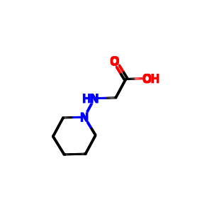 O=C(O)CNN1CCCCC1